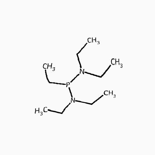 CCN(CC)P(CC)N(CC)CC